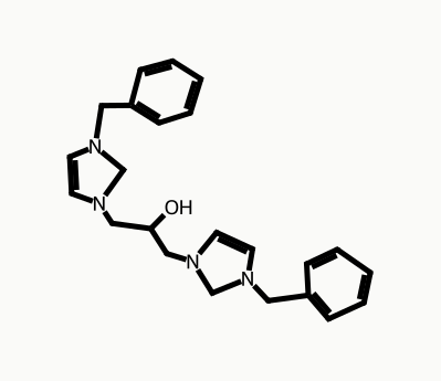 OC(CN1C=CN(Cc2ccccc2)C1)CN1C=CN(Cc2ccccc2)C1